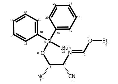 CCOC=N[C@H](C#N)[C@H](C#N)O[Si](c1ccccc1)(c1ccccc1)C(C)(C)C